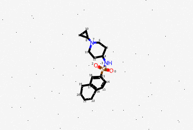 O=S(=O)(NC1CCN(C2CC2)CC1)c1ccc2c(c1)CCCC2